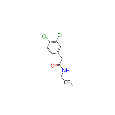 O=C(Cc1ccc(Cl)c(Cl)c1)NCC(F)(F)F